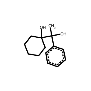 CC(O)(c1ccccc1)C1(O)CCCCC1